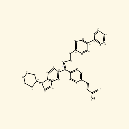 O=C(O)C=Cc1ccc(/C(=C\CCc2ccc(-c3cncnc3)cc2)c2ccc3c(cnn3C3CCCCO3)c2)cc1